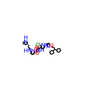 CC1(C)C[C@H](CCCNc2cccc(S(=O)(=O)NC(=O)c3ccc(-n4ccc(OCCC(C5CCCCC5)C5CCCCC5)n4)nc3Cl)n2)CN1